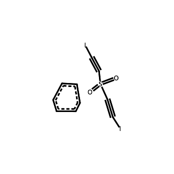 O=S(=O)(C#CI)C#CI.c1ccccc1